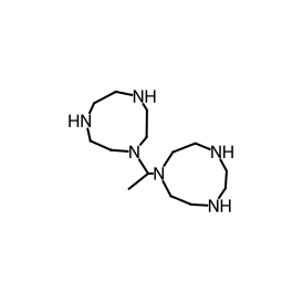 CC(N1CCNCCNCC1)N1CCNCCNCC1